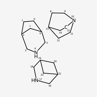 C1CC2CNCC1C2.C1CN2CCC1CC2.C1NCC2CC1C2